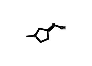 CN1CCC(=NO)C1